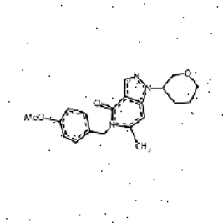 COc1ccc(Cn2c(C)cc3c(cnn3C3CCCOC3)c2=O)cc1